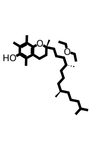 CCOCC.Cc1c(C)c2c(c(C)c1O)CC[C@@](C)(CCC[C@H](C)CCC[C@H](C)CCCC(C)C)O2